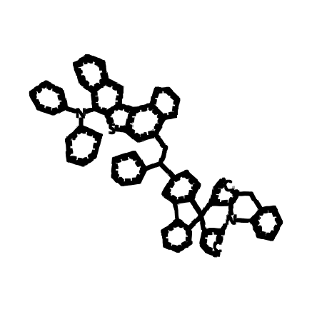 c1ccc(C(Cc2cc3sc4c(N(c5ccccc5)c5ccccc5)c5ccccc5cc4c3c3ccccc23)c2ccc3c(c2)-c2ccccc2C32c3ccccc3N3c4ccccc4Cc4cccc2c43)cc1